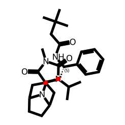 CC(C)N1C(=O)N(C)C(=O)C12CC1CCC(C2)N1CC[C@H](NC(=O)CC(C)(C)C)c1ccccc1